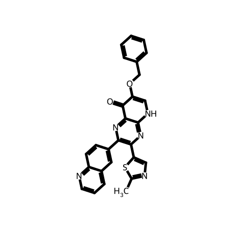 Cc1ncc(-c2nc3[nH]cc(OCc4ccccc4)c(=O)c3nc2-c2ccc3ncccc3c2)s1